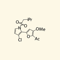 COc1cc(-c2c(Cl)ccn2S(=O)(=O)CC(C)C)oc1C(C)=O